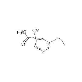 CCC1=CC=CC(O)(C(=O)O)C1